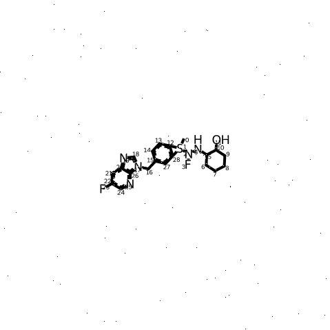 CS1(N(F)NC2CCCCC2O)c2ccc(Cn3cnc4cc(F)cnc43)cc21